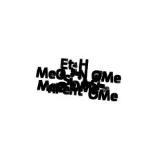 CCCCCC(NC(CC)[Si](OC)(OC)OC)[Si](C)(OC)OC